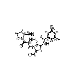 CC(NC1CC(C=O)N(CC(N)C(=O)N2CCCC2C#N)C1)c1cc(F)cc(F)c1